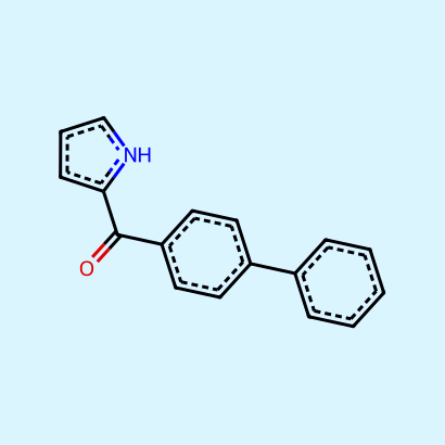 O=C(c1ccc(-c2ccccc2)cc1)c1ccc[nH]1